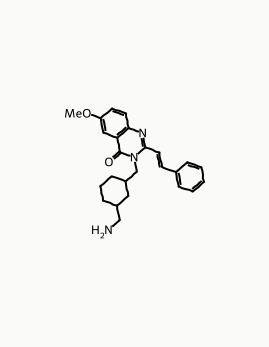 COc1ccc2nc(C=Cc3ccccc3)n(CC3CCCC(CN)C3)c(=O)c2c1